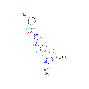 CCC(=O)N[C@@H](C(=O)N1CCN(C)CC1)[C@@H](C)c1ccc(NC(=O)CNC(=O)C(F)(F)c2cccc(C#N)c2)c(F)c1